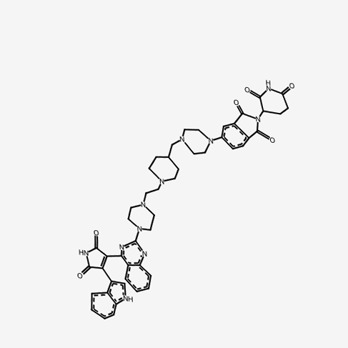 O=C1CCC(N2C(=O)c3ccc(N4CCN(CC5CCN(CCN6CCN(c7nc(C8=C(c9c[nH]c%10ccccc9%10)C(=O)NC8=O)c8ccccc8n7)CC6)CC5)CC4)cc3C2=O)C(=O)N1